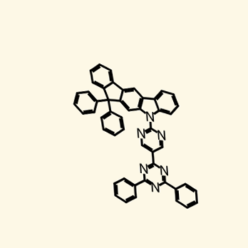 c1ccc(-c2nc(-c3ccccc3)nc(-c3cnc(-n4c5ccccc5c5cc6c(cc54)C(c4ccccc4)(c4ccccc4)c4ccccc4-6)nc3)n2)cc1